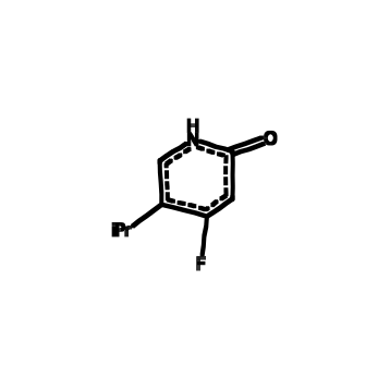 CC(C)c1c[nH]c(=O)cc1F